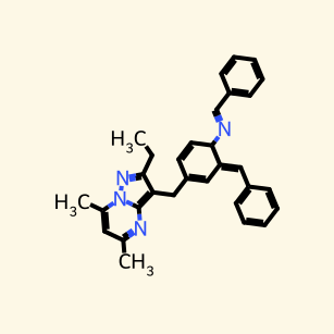 CCc1nn2c(C)cc(C)nc2c1CC1=CC(=Cc2ccccc2)C(N=Cc2ccccc2)C=C1